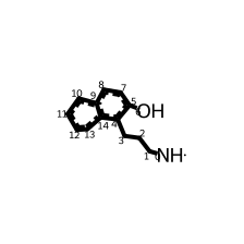 [NH]CCCc1c(O)ccc2ccccc12